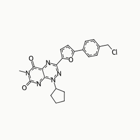 Cn1c(=O)nc2n(C3CCCC3)nc(-c3ccc(-c4ccc(CCl)cc4)o3)nc-2c1=O